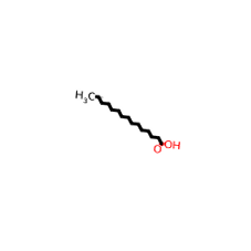 C[CH]CCCCCCCCCCCCC(=O)O